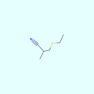 CCSCC(C)C#N